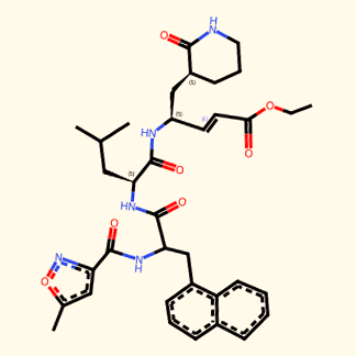 CCOC(=O)/C=C/[C@H](C[C@@H]1CCCNC1=O)NC(=O)[C@H](CC(C)C)NC(=O)C(Cc1cccc2ccccc12)NC(=O)c1cc(C)on1